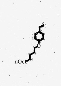 [CH]=Cc1[c]cc(OCCCCCCCCCCCC)cc1